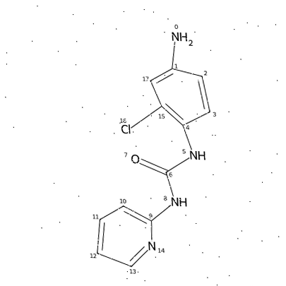 Nc1ccc(NC(=O)Nc2ccccn2)c(Cl)c1